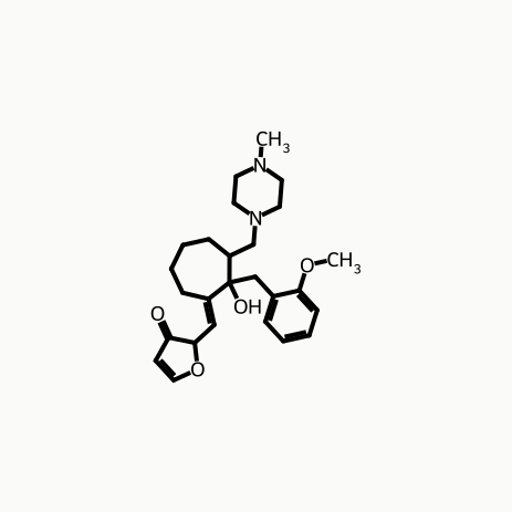 COc1ccccc1CC1(O)C(=CC2OC=CC2=O)CCCCC1CN1CCN(C)CC1